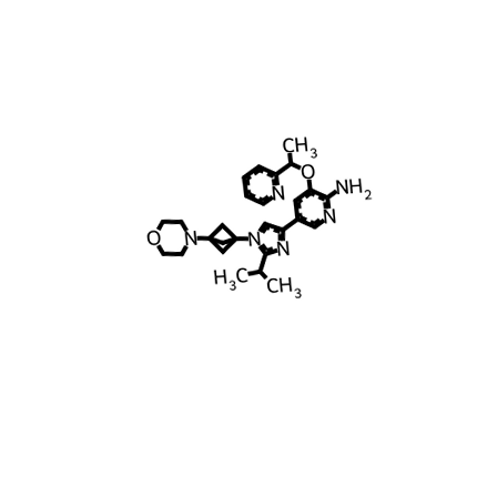 CC(C)c1nc(-c2cnc(N)c(OC(C)c3ccccn3)c2)cn1C12CC(N3CCOCC3)(C1)C2